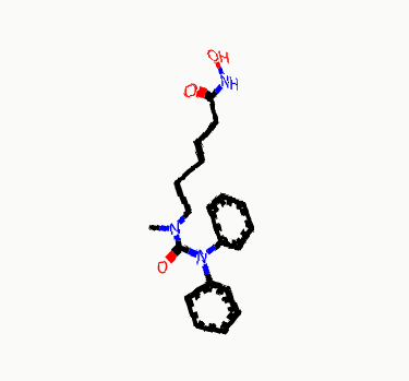 CN(CCCCCC(=O)NO)C(=O)N(c1ccccc1)c1ccccc1